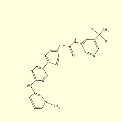 CN1C=C=CC(Nc2ncc(-c3ccc(CC(=O)Nc4cncc(C(C)(F)F)c4)cc3)cn2)=C1